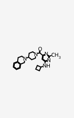 Cc1nc(NC2CCC2)cc(C(=O)N2CCC(N3CCc4ccccc4C3)CC2)n1